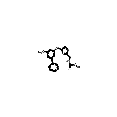 CC(C)(C)OC(=O)NCc1ncc(Sc2cc(C(=O)O)cc(-c3ccccc3)c2)s1